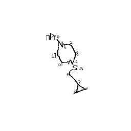 CCCN1CCN(SCC2CC2)CC1